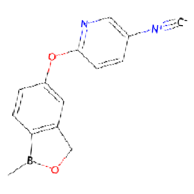 [C-]#[N+]c1ccc(Oc2ccc3c(c2)COB3C)nc1